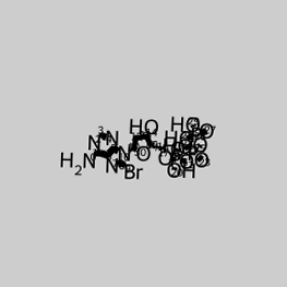 Nc1ncnc2c1nc(Br)n2[C@H]1C[C@H](O)[C@@H](COP(=O)(O)OP(=O)(O)OP(=O)(O)O)O1